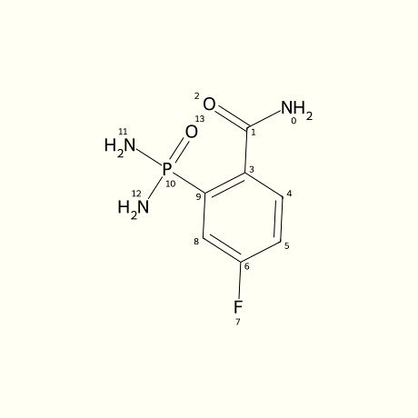 NC(=O)c1ccc(F)cc1P(N)(N)=O